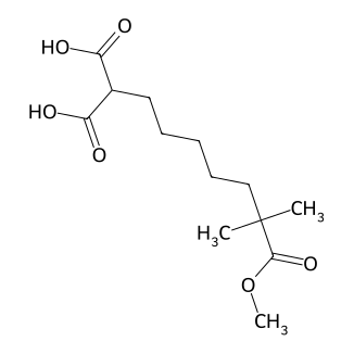 COC(=O)C(C)(C)CCCCCC(C(=O)O)C(=O)O